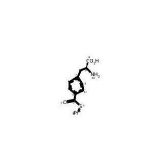 CC(C)SC(=O)c1ccc(C[C@H](N)C(=O)O)cc1